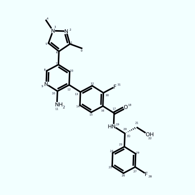 Cc1nn(C)cc1-c1cnc(N)c(-c2ccc(C(=O)N[C@H](CO)c3cccc(F)c3)c(F)c2)c1